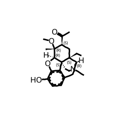 CC[C@]12C[C@H](C(C)=O)[C@@](C)(OC)[C@@H]3Oc4c(O)ccc5c4[C@@]31CCN(C)[C@@H]2C5